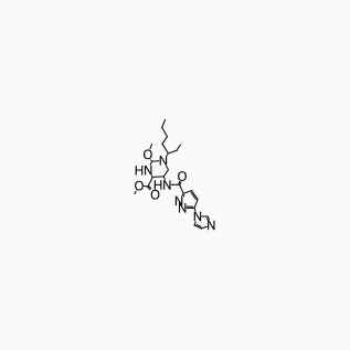 CCCCC(CC)N1CC(NC(=O)c2ccc(-n3ccnc3)nn2)C(C(=O)OC)NC1OC